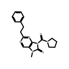 Cn1c(=O)n(C(=O)N2CCCC2)c2nc(CCc3ccccc3)ncc21